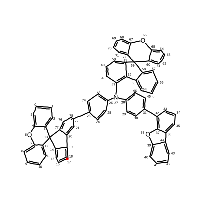 c1ccc2c(c1)Oc1ccccc1C21c2ccccc2-c2cc(-c3ccc(N(c4ccc(-c5cccc6c5oc5ccccc56)cc4)c4cccc5c4-c4ccccc4C54c5ccccc5Oc5ccccc54)cc3)ccc21